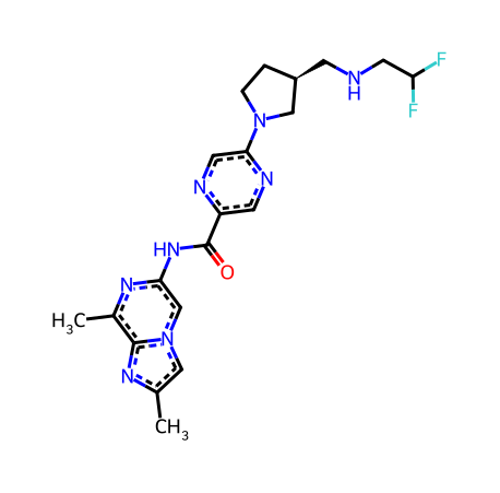 Cc1cn2cc(NC(=O)c3cnc(N4CC[C@@H](CNCC(F)F)C4)cn3)nc(C)c2n1